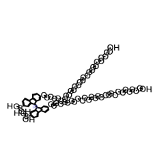 OOOOOOOOOOOOOOOOOOOOOOOOOOOOc1ccc2c(c1)/C(=C1\c3cc(OOOOOOOOOOOOOOOOOOOOOOOOOOOO)ccc3-c3ccc(B(O)O)cc31)c1cc(B(O)O)ccc1-2